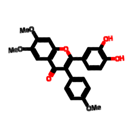 COc1ccc(-c2c(-c3ccc(O)c(O)c3)oc3cc(OC)c(OC)cc3c2=O)cc1